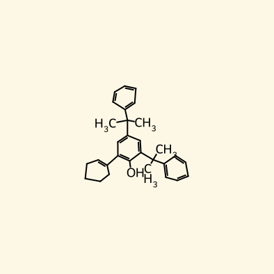 CC(C)(c1ccccc1)c1cc(C2=CCCCC2)c(O)c(C(C)(C)c2ccccc2)c1